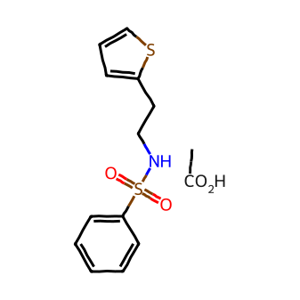 CC(=O)O.O=S(=O)(NCCc1cccs1)c1ccccc1